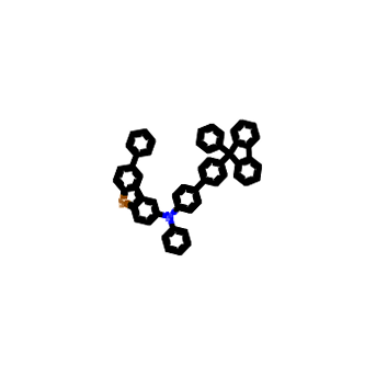 c1ccc(-c2ccc3sc4ccc(N(c5ccccc5)c5ccc(-c6ccc(C7(c8ccccc8)c8ccccc8-c8ccccc87)cc6)cc5)cc4c3c2)cc1